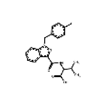 CC(C)C(NC(=O)c1nn(Cc2ccc(F)cc2)c2ccccc12)C(=O)O